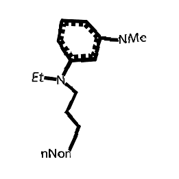 CCCCCCCCCCCCN(CC)c1cccc(NC)c1